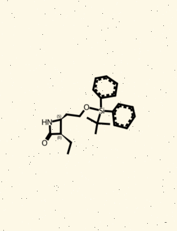 CC[C@H]1C(=O)N[C@H]1CCO[Si](c1ccccc1)(c1ccccc1)C(C)(C)C